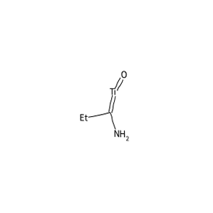 CC[C](N)=[Ti]=[O]